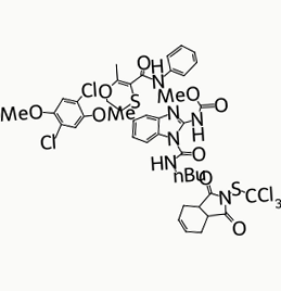 CC1=C(C(=O)Nc2ccccc2)SCCO1.CCCCNC(=O)n1c(NC(=O)OC)nc2ccccc21.COc1cc(Cl)c(OC)cc1Cl.O=C1C2CC=CCC2C(=O)N1SC(Cl)(Cl)Cl